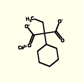 CCC(C(=O)[O-])(C(=O)[O-])C1CCCCC1.[Ca+2]